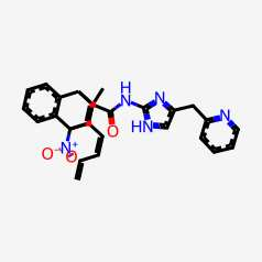 C=C/C=C\C1=CC2c3ccccc3C1([N+](=O)[O-])CC2(C)C(=O)Nc1nc(Cc2ccccn2)c[nH]1